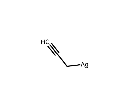 C#C[CH2][Ag]